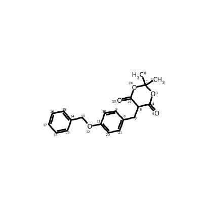 CC1(C)OC(=O)C(Cc2ccc(OCc3ccccc3)cc2)C(=O)O1